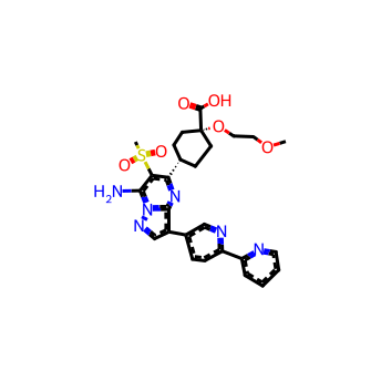 COCCO[C@]1(C(=O)O)CC[C@H](c2nc3c(-c4ccc(-c5ccccn5)nc4)cnn3c(N)c2S(C)(=O)=O)CC1